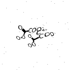 O=C([O-])C(=O)O[O-].O=C([O-])C(=O)O[O-].[C+4]